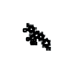 CCN1CCCN(c2ccc3nc(-c4ccc(F)c(Cl)c4)n(CC(=O)OC(C)(C)C)c(=O)c3c2)CC1